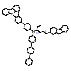 C=C/C(=C\C=C\c1ccc2c(c1)oc1ccccc12)N(C1=CCC(c2ccc3c(c2)c2cccc4c5ccccc5n3c42)C=C1)c1ccc(-c2ccc(-c3ccccc3)cc2)cc1